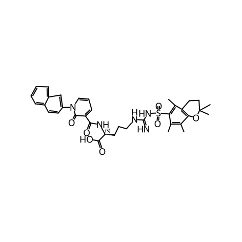 Cc1c(C)c(S(=O)(=O)NC(=N)NCCC[C@H](NC(=O)c2cccn(-c3ccc4ccccc4c3)c2=O)C(=O)O)c(C)c2c1OC(C)(C)CC2